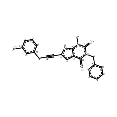 Cn1c(=O)n(Cc2ccccc2)c(=O)c2cc(C#CCc3cccc(Br)c3)sc21